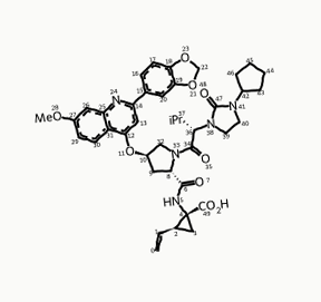 C=C[C@@H]1C[C@]1(NC(=O)[C@@H]1C[C@@H](Oc2cc(-c3ccc4c(c3)OCO4)nc3cc(OC)ccc23)CN1C(=O)[C@H](C(C)C)N1CCN(C2CCCC2)C1=O)C(=O)O